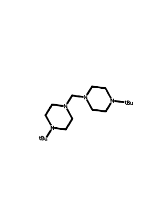 CC(C)(C)N1CCN(CN2CCN(C(C)(C)C)CC2)CC1